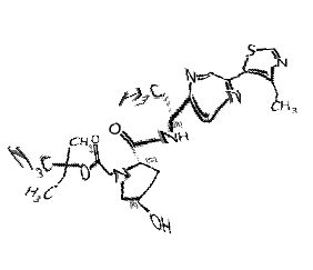 Cc1ncsc1-c1cnc([C@@H](C)NC(=O)[C@@H]2C[C@@H](O)CN2C(=O)OC(C)(C)C)cn1